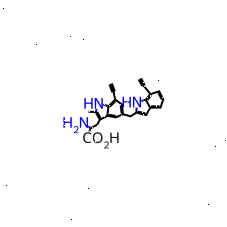 C#Cc1cccc2cc(Cc3cc(C#C)c4[nH]c(C)c(CC(N)C(=O)O)c4c3)[nH]c12